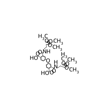 CCO[Si](CCCNC(=O)c1cc(Oc2ccc(C(=O)O)c(C(=O)NCCC[Si](OCC)(OCC)OCC)c2)ccc1C(=O)O)(OCC)OCC